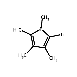 Cc1c(C)[c]([Ti])p(C)c1C